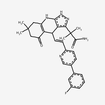 CC1(C)CC(=O)C2=C(C1)Nc1[nH]nc(C(C)(C)C(N)=O)c1C2/C=C/c1ccc(-c2cccc(F)c2)cn1